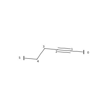 IC#CCCI